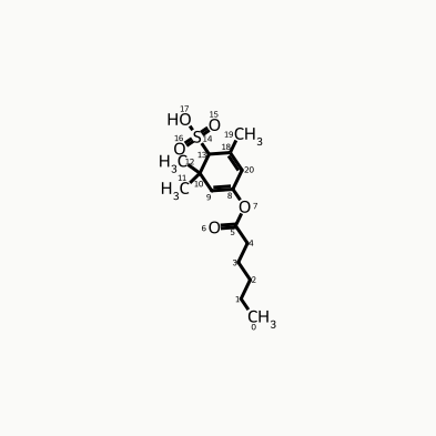 CCCCCC(=O)OC1=CC(C)(C)C(S(=O)(=O)O)C(C)=C1